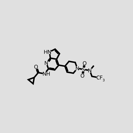 CN(CC(F)(F)F)S(=O)(=O)N1CC=C(c2cc(NC(=O)C3CC3)nc3[nH]ccc23)CC1